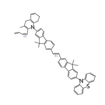 C=C/C=C\C1=C(C)CC2=C(CCC=C2)N1c1ccc2c(c1)C(C)(C)c1cc(/C=C/c3ccc4c(c3)C(C)(C)c3cc(N5c6ccccc6Sc6ccccc65)ccc3-4)ccc1-2